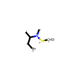 CC(C)CC(C)N(C)S[C]=O